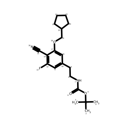 CC(C)(C)OC(=O)NCCc1cc(F)c(C#N)c(OCC2CCCC2)c1